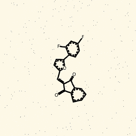 O=C1C(=Cc2ccc(-c3ccc(F)cc3F)o2)C(=O)c2ccccc21